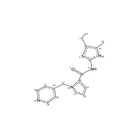 CCc1sc(NC(=O)c2cccn2Cc2ccncc2)nc1C